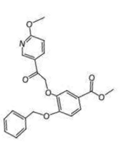 COC(=O)c1ccc(OCc2ccccc2)c(OCC(=O)c2ccc(OC)nc2)c1